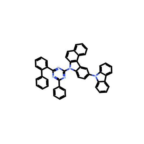 c1ccc(-c2nc(-c3ccccc3-c3ccccc3)nc(-n3c4ccc(-n5c6ccccc6c6ccccc65)cc4c4c5ccccc5ccc43)n2)cc1